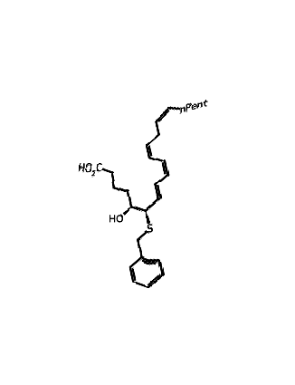 CCCCC/C=C\C\C=C/C=C\C=C\[C@@H](SCc1ccccc1)[C@@H](O)CCCC(=O)O